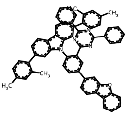 Cc1ccc(-c2ccc3c4ccc(-c5ccc(C)cc5C)cc4n(-c4ccc(-c5ccc6c(c5)oc5ccccc56)cc4-c4nc(-c5ccccc5)nc(-c5ccccc5)n4)c3c2)c(C)c1